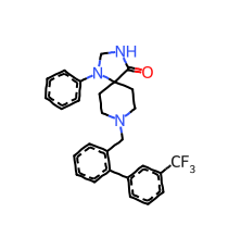 O=C1NCN(c2ccccc2)C12CCN(Cc1ccccc1-c1cccc(C(F)(F)F)c1)CC2